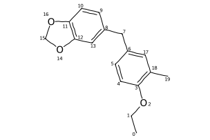 CCOc1ccc(Cc2ccc3c(c2)OCO3)cc1C